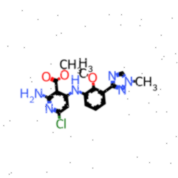 COC(=O)c1c(Nc2cccc(-c3ncn(C)n3)c2OC)cc(Cl)nc1N